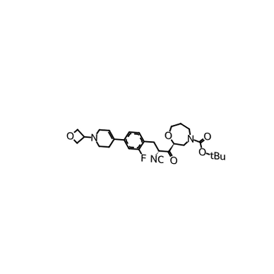 CC(C)(C)OC(=O)N1CCCO[C@H](C(=O)[C@H](C#N)Cc2ccc(C3=CCN(C4COC4)CC3)cc2F)C1